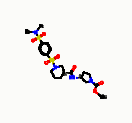 CCN(CC)S(=O)(=O)c1ccc(S(=O)(=O)N2CCC[C@@H](C(=O)N[C@@H]3CCN(C(=O)OC(C)(C)C)C3)C2)cc1